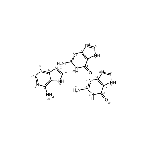 Nc1nc2nc[nH]c2c(=O)[nH]1.Nc1nc2nc[nH]c2c(=O)[nH]1.Nc1ncnc2nc[nH]c12